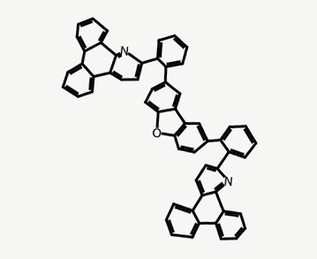 c1ccc(-c2ccc3c4ccccc4c4ccccc4c3n2)c(-c2ccc3oc4ccc(-c5ccccc5-c5ccc6c7ccccc7c7ccccc7c6n5)cc4c3c2)c1